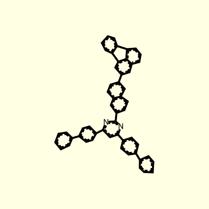 c1ccc(-c2ccc(-c3cc(-c4ccc(-c5ccccc5)cc4)nc(-c4ccc5cc(-c6cc7c8c(cccc8c6)-c6ccccc6-7)ccc5c4)n3)cc2)cc1